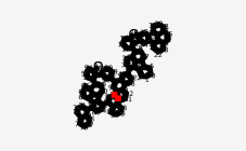 c1ccc2c(c1)-c1ccc(-c3cccc4oc5ccc(-c6cccc7ccc8ccccc8c67)cc5c34)c3ccc(-c4ccc5c(c4)c(-c4ccc6oc7cccc(-c8ccc9c%10c(cccc8%10)-c8c(-c%10cccc%11ccccc%10%11)ccc(-c%10cccc%11ccccc%10%11)c8-9)c7c6c4)cc4ccccc45)c-2c13